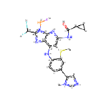 CSc1cc(-c2cncn2C)ccc1Nc1cc(NC(=O)C2CC2)nc2c1nc(C(F)F)n2PI